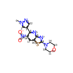 Cn1cc(-c2nc3nc(N4CCOCC4)sc3cc2[N+](=O)[O-])cn1